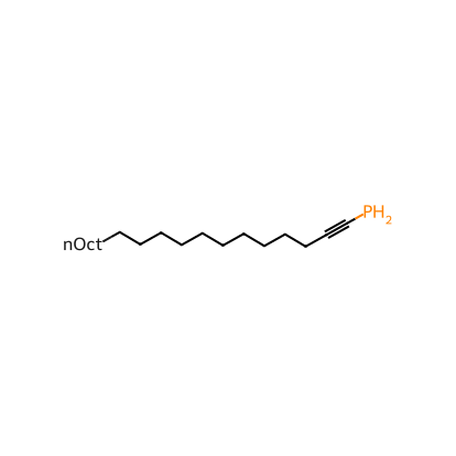 CCCCCCCCCCCCCCCCCCC#CP